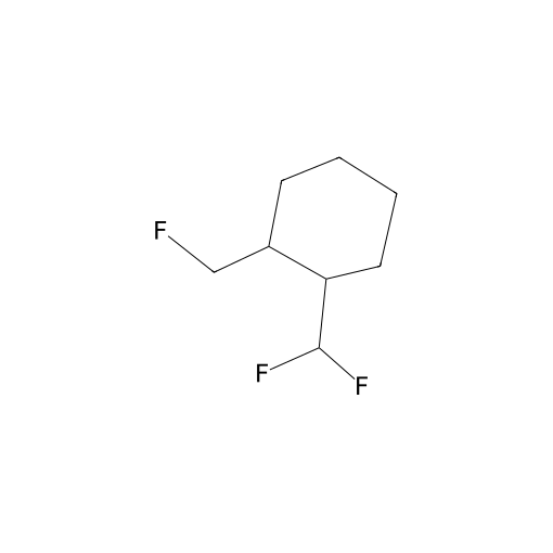 FCC1CCCCC1C(F)F